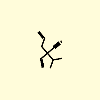 C=CCC(C#N)(C=C)C(C)C